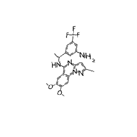 COc1cc2c(NC(C)c3cc(N)cc(C(F)(F)F)c3)nc3cc(C)nn3c2cc1OC